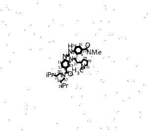 CNC(=O)c1ccc(Nc2nc3ccc(C(=O)N(CCC(C)C)CCC(C)C)cc3n2CCC2CCCN2C)cc1